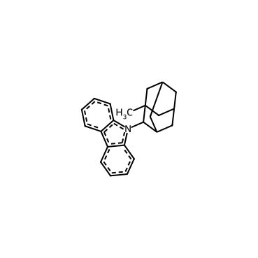 CC12CC3CC(CC(C3)C1n1c3ccccc3c3ccccc31)C2